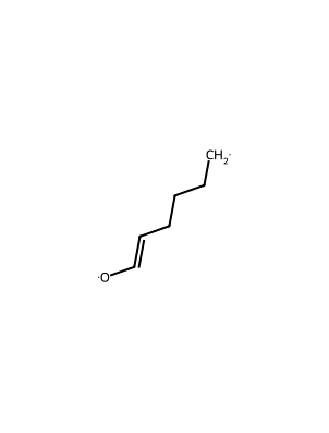 [CH2]CCCC=C[O]